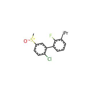 CC(C)c1cccc(-c2cc([S+](C)[O-])ccc2Cl)c1F